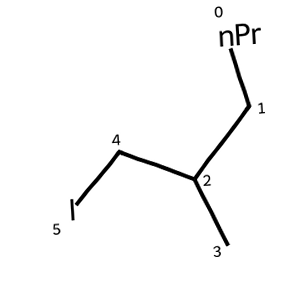 [CH2]CCCC(C)CI